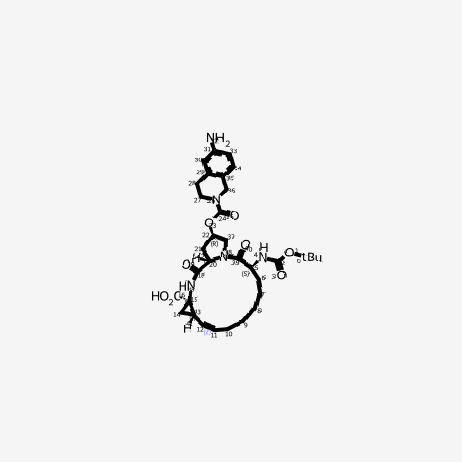 CC(C)(C)OC(=O)N[C@H]1CCCCC/C=C\[C@@H]2C[C@@]2(C(=O)O)NC(=O)[C@@H]2C[C@@H](OC(=O)N3CCc4cc(N)ccc4C3)CN2C1=O